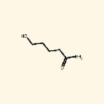 NC(=O)CCCCO